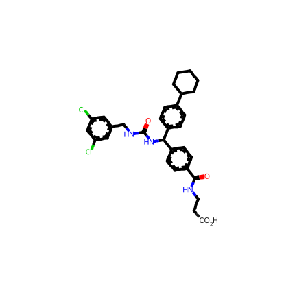 O=C(O)CCNC(=O)c1ccc(C(NC(=O)NCc2cc(Cl)cc(Cl)c2)c2ccc(C3CCCCC3)cc2)cc1